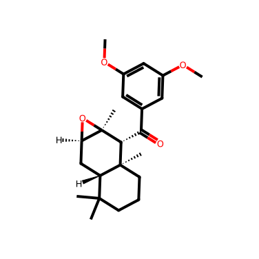 COc1cc(OC)cc(C(=O)[C@@H]2[C@@]3(C)CCCC(C)(C)[C@@H]3C[C@H]3O[C@@]23C)c1